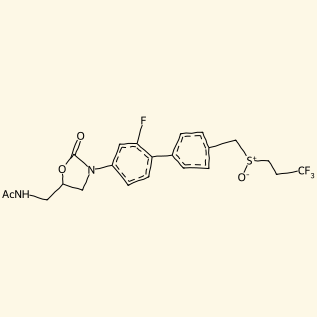 CC(=O)NCC1CN(c2ccc(-c3ccc(C[S+]([O-])CCC(F)(F)F)cc3)c(F)c2)C(=O)O1